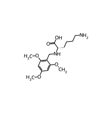 COc1cc(OC)c(CN[C@@H](CCCCN)C(=O)O)c(OC)c1